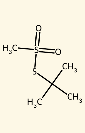 CC(C)(C)SS(C)(=O)=O